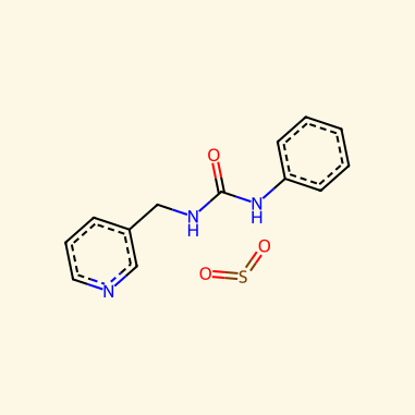 O=C(NCc1cccnc1)Nc1ccccc1.O=S=O